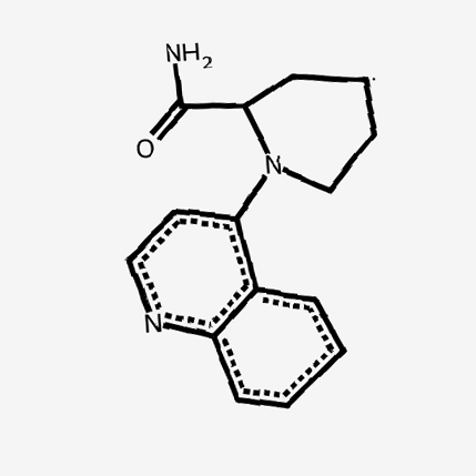 NC(=O)C1C[CH]CCN1c1ccnc2ccccc12